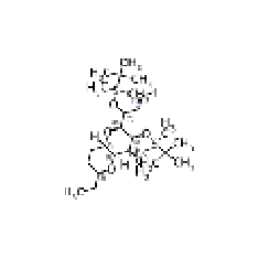 CC[C@H]1CC[C@@H]2O[C@@H]([C@H](/C=C/I)O[Si](C)(C)C(C)(C)C)[C@@H](O[Si](C)(C)C(C)(C)C)[C@@H](C)[C@H]2O1